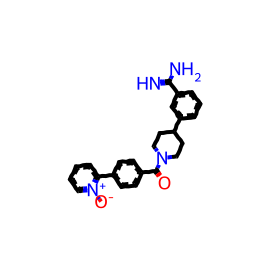 N=C(N)c1cccc(C2CCN(C(=O)c3ccc(-c4cccc[n+]4[O-])cc3)CC2)c1